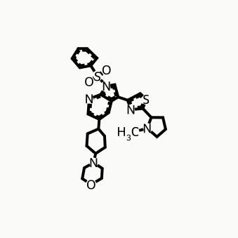 CN1CCCC1c1nc(-c2cn(S(=O)(=O)c3ccccc3)c3ncc(C4CCC(N5CCOCC5)CC4)cc23)cs1